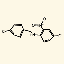 O=[N+]([O-])c1cc(Cl)ccc1NCc1ccc(Cl)cc1